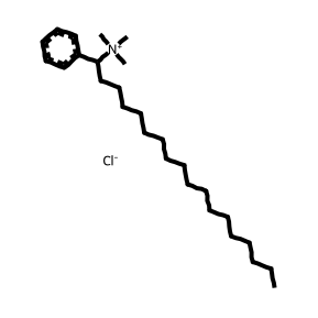 CCCCCCCCCCCCCCCCCC(c1ccccc1)[N+](C)(C)C.[Cl-]